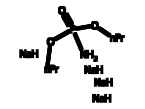 CCCOP(N)(=O)OCCC.[NaH].[NaH].[NaH].[NaH]